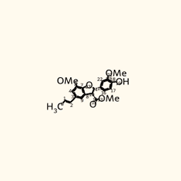 C/C=C/c1cc(OC)c2c(c1)[C@H](C(=O)OC)[C@@H](c1ccc(O)c(OC)c1)O2